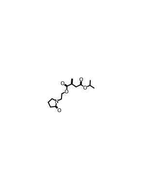 C=C(CC(=O)OC(C)C)C(=O)OCCN1CCCC1=O